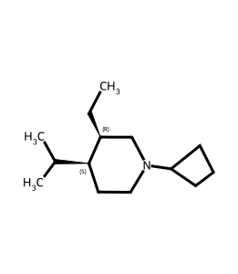 CC[C@H]1CN(C2CCC2)CC[C@H]1C(C)C